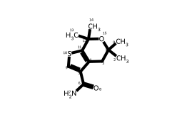 CC1(C)Cc2c(C(N)=O)csc2C(C)(C)O1